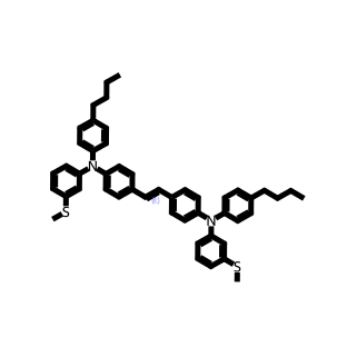 CCCCc1ccc(N(c2ccc(/C=C/c3ccc(N(c4ccc(CCCC)cc4)c4cccc(SC)c4)cc3)cc2)c2cccc(SC)c2)cc1